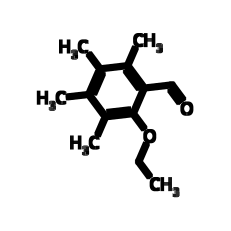 CCOc1c(C)c(C)c(C)c(C)c1C=O